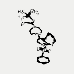 CC(C)(C)OC(=O)N1CCN(c2cn(S(=O)(=O)c3ccccc3)c3ncccc23)CC1